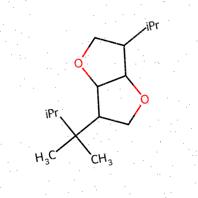 CC(C)C1COC2C1OCC2C(C)(C)C(C)C